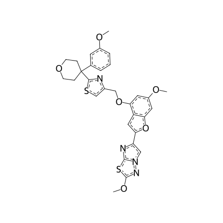 COc1cccc(C2(c3nc(COc4cc(OC)cc5oc(-c6cn7nc(OC)sc7n6)cc45)cs3)CCOCC2)c1